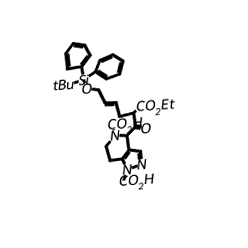 CCOC(=O)C(CC=CCO[Si](c1ccccc1)(c1ccccc1)C(C)(C)C)C(=O)C1c2cnn(C(=O)O)c2CCN1C(=O)O